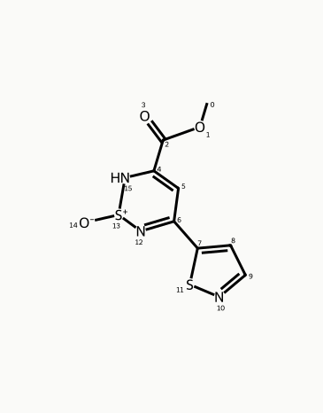 COC(=O)C1=CC(c2ccns2)=N[S+]([O-])N1